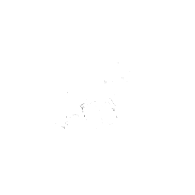 CC(=O)Nc1cccc(N[C@H](C)C(=O)O)c1